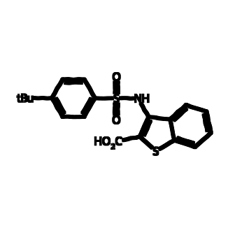 CC(C)(C)c1ccc(S(=O)(=O)Nc2c(C(=O)O)sc3ccccc23)cc1